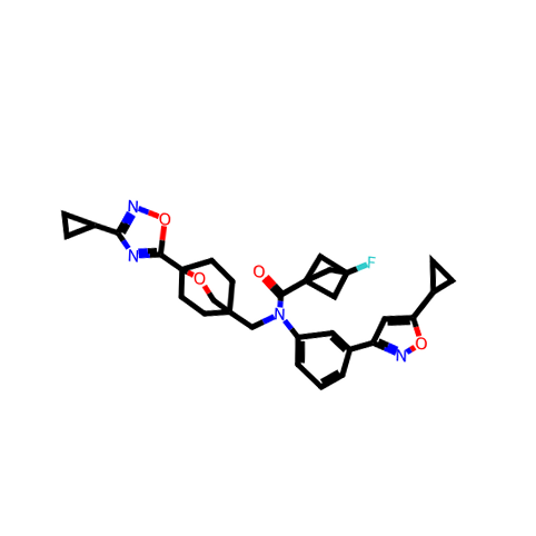 O=C(N(CC12CCC(c3nc(C4CC4)no3)(CC1)OC2)c1cccc(-c2cc(C3CC3)on2)c1)C12CC(F)(C1)C2